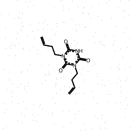 C=CCCn1c(=O)[nH]c(=O)n(CCC=C)c1=O